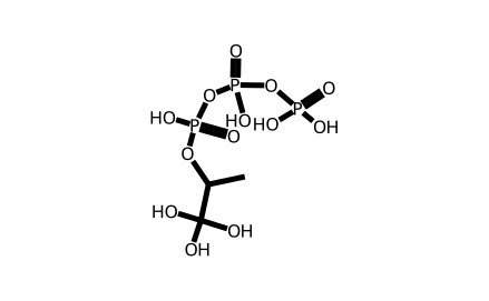 CC(OP(=O)(O)OP(=O)(O)OP(=O)(O)O)C(O)(O)O